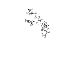 Cc1ccc(S(=O)(=O)NCCCCC(CCCn2ccnc2)CCC(=O)O)cc1